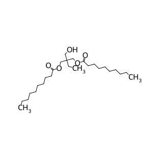 CCCCCCCCCC(=O)OCC(CC)(CO)COC(=O)CCCCCCCCC